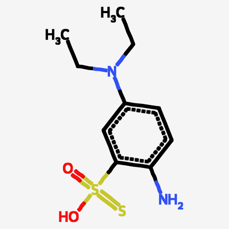 CCN(CC)c1ccc(N)c(S(=O)(O)=S)c1